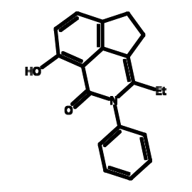 CCc1c2c3c(ccc(O)c3c(=O)n1-c1ccccc1)CC2